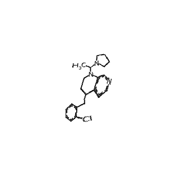 CC(N1CCCC1)N1CCC(Cc2ccccc2Cl)c2ccncc21